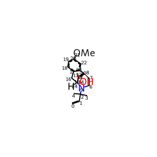 C=CC(C)(C)N1CC[C@]23CCCC[C@@]2(O)[C@H]1Cc1ccc(OC)cc13